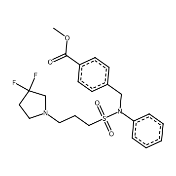 COC(=O)c1ccc(CN(c2ccccc2)S(=O)(=O)CCCN2CCC(F)(F)C2)cc1